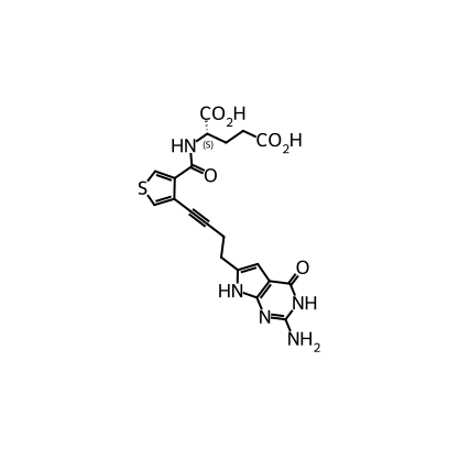 Nc1nc2[nH]c(CCC#Cc3cscc3C(=O)N[C@@H](CCC(=O)O)C(=O)O)cc2c(=O)[nH]1